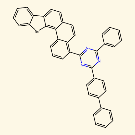 c1ccc(-c2ccc(-c3nc(-c4ccccc4)nc(-c4cccc5c4ccc4ccc6c7ccccc7[se]c6c45)n3)cc2)cc1